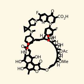 CO[C@H]1/C=C/O[C@@]2(C)Oc3c(C)c(O)c4c(O)c(c(/C=N/N5CCC(N(C)C6(C7CCN(c8nc9c(cc8F)c(=O)c(C(=O)O)cn9-c8ccc(F)cc8F)C7)CC6)CC5)c(O)c4c3C2=O)NC(=O)/C(C)=C\C=C\[C@H](C)[C@H](O)[C@@H](C)[C@@H](O)[C@@H](C)[C@H](OC(C)=O)[C@@H]1C